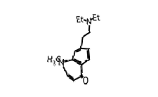 CCN(CC)CCc1ccc2c(=O)ccn(C)c2c1